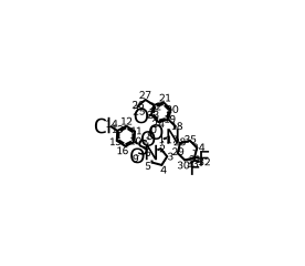 O=C([C@@H]1CCCN1S(=O)(=O)c1ccc(Cl)cc1)N(Cc1ccc2c(c1)OCC2)C1CCC(F)(F)CC1